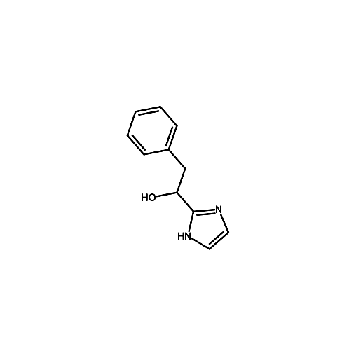 OC(Cc1ccccc1)c1ncc[nH]1